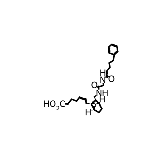 O=C(O)CCC/C=C\C[C@H]1[C@@H](CNC(=O)CNC(=O)CCCCc2ccccc2)[C@H]2CC[C@@H]1S2